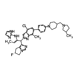 C/C=C(\Nc1ncc[nH]1)C(c1ncn2c1C[C@@H](F)C2)n1cc2c(Cl)cc(-c3ccc(N4CCC(CN5CCC(C)C5)CC4)cc3)c(C)c2n1